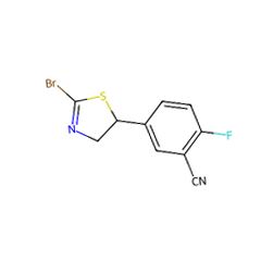 N#Cc1cc(C2CN=C(Br)S2)ccc1F